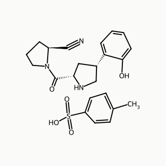 Cc1ccc(S(=O)(=O)O)cc1.N#C[C@@H]1CCCN1C(=O)[C@@H]1C[C@H](c2ccccc2O)CN1